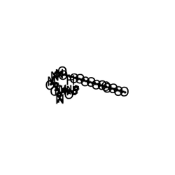 CCN(CC)c1ccc(NC(=O)c2cccc(C(=O)N(C)CCN3CCCN(C(=O)OCCCCCOCCOCCOCCOCCOCCOCOOCCOCCOCCOC)CC3)c2)c(-c2cc(C(=O)N[C@H]3CCCc4ccccc43)ccn2)c1